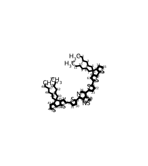 CCCCCCC1(CCCCCC)c2ccsc2-c2sc(-c3ccc(-c4cnc(-c5ccc(-c6cc7c(s6)-c6sccc6C7(CCCCCC)CCCCCC)s5)c5nsnc45)s3)cc21